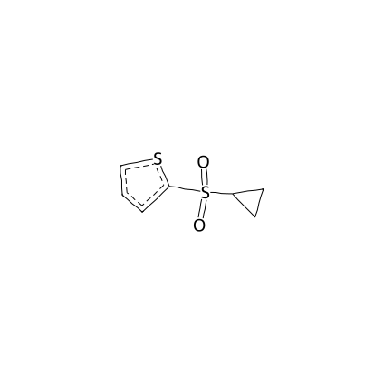 O=S(=O)(c1cccs1)C1CC1